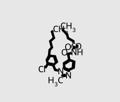 CCCCCCc1ccc(Cn2c(C)nc3ccc(C(=O)NS(=O)(=O)CCCCC)cc32)c(Cl)c1